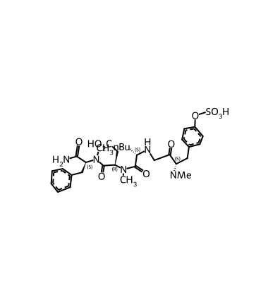 CCCC[C@H](NCC(=O)[C@H](Cc1ccc(OS(=O)(=O)O)cc1)NC)C(=O)N(C)[C@H](CC(=O)O)C(=O)N(C)[C@@H](Cc1ccccc1)C(N)=O